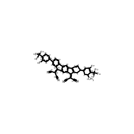 CC1CC(C2C=CC3=C(C2)C(=C(C#N)C#N)c2cc4c(cc23)-c2ccc(-c3ccc(C(F)(F)F)c(F)c3)cc2C4=C(C#N)C#N)=CC(F)=C1C(F)(F)F